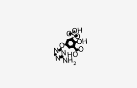 Nc1ncnc(Oc2cc(C(=O)O)c(O)c(S(=O)(=O)O)c2)n1